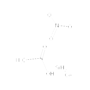 CC(=O)O.O=[N+]([O-])[O-].[Ce].[SrH2]